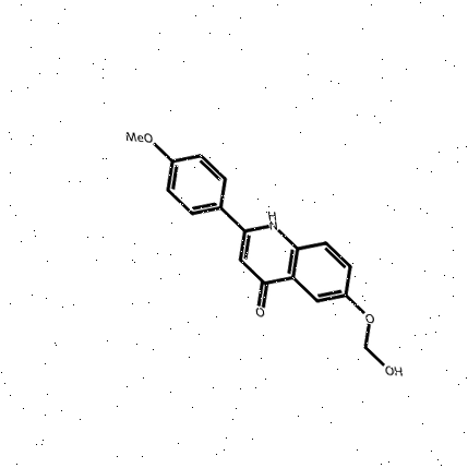 COc1ccc(-c2cc(=O)c3cc(OCO)ccc3[nH]2)cc1